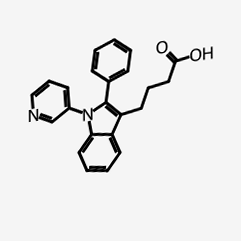 O=C(O)CCCc1c(-c2ccccc2)n(-c2cccnc2)c2ccccc12